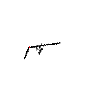 CCCCCCCCCCC/C=C\CCCCCCC(=O)O[C@H](COC(=O)CCCCCCCCCCCCCCCCC)COP(=O)(O)OCC[N+](C)(C)C